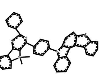 C[Si]1(C)c2ccccc2-c2nc(-c3ccccc3)nc(-c3ccc(-n4c5ccccc5c5c6c(ccc54)sc4ccccc46)cc3)c21